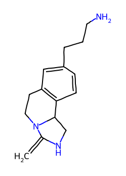 C=C1NCC2c3ccc(CCCN)cc3CCN12